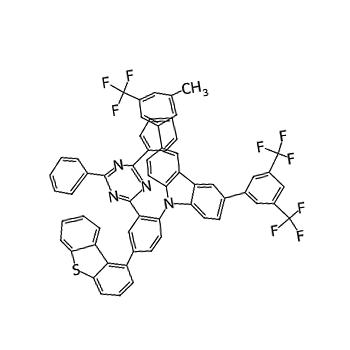 Cc1cc(-c2ccc3c(c2)c2cc(-c4cc(C(F)(F)F)cc(C(F)(F)F)c4)ccc2n3-c2ccc(-c3cccc4sc5ccccc5c34)cc2-c2nc(-c3ccccc3)nc(-c3ccccc3)n2)cc(C(F)(F)F)c1